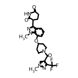 Cn1cc(C(=O)N2CCC(Oc3cccc4c(C5CCC(=O)NC5=O)nn(C)c34)CC2)c(C(F)(F)F)n1